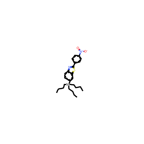 CCC[CH2][Sn]([CH2]CCC)([CH2]CCC)[c]1ccc2nc(-c3ccc([N+](=O)[O-])cc3)sc2c1